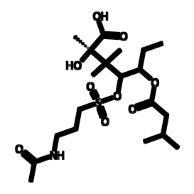 CCC(OC(=O)CC(C)C)C(OS(=O)(=O)CCCNC(C)=O)C(C)(C)[C@@](C)(O)C(=O)O